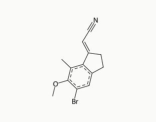 COc1c(Br)cc2c(c1C)C(=CC#N)CC2